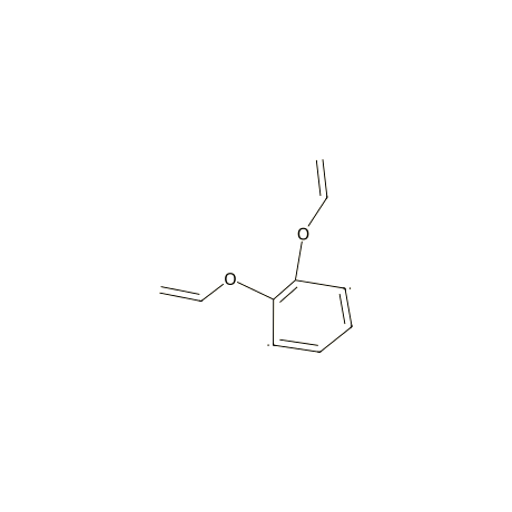 C=COc1[c]cc[c]c1OC=C